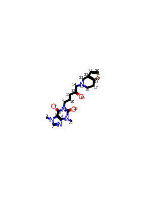 Cn1cnc2c1c(=O)n(CCCC(=O)CN1CCc3sccc3C1)c(=O)n2C